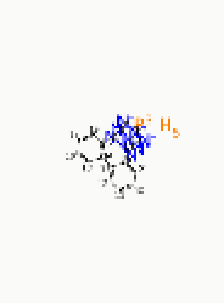 [N-]=[N+]=[N-].[N-]=[N+]=[N-].[N-]=[N+]=[N-].[PH6+3].c1ccc(-c2ccccc2)cc1